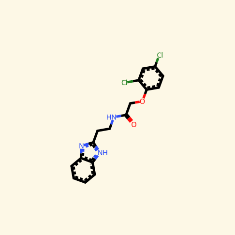 O=C(COc1ccc(Cl)cc1Cl)NCCc1nc2ccccc2[nH]1